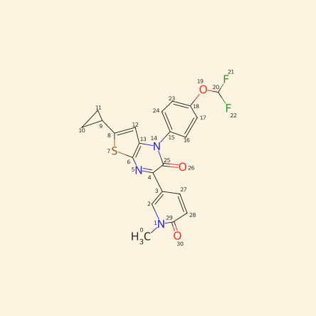 Cn1cc(-c2nc3sc(C4CC4)cc3n(-c3ccc(OC(F)F)cc3)c2=O)ccc1=O